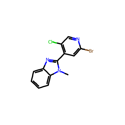 Cn1c(-c2cc(Br)ncc2Cl)nc2ccccc21